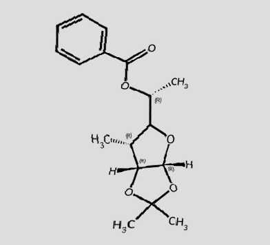 C[C@@H]1C([C@@H](C)OC(=O)c2ccccc2)O[C@@H]2OC(C)(C)O[C@@H]21